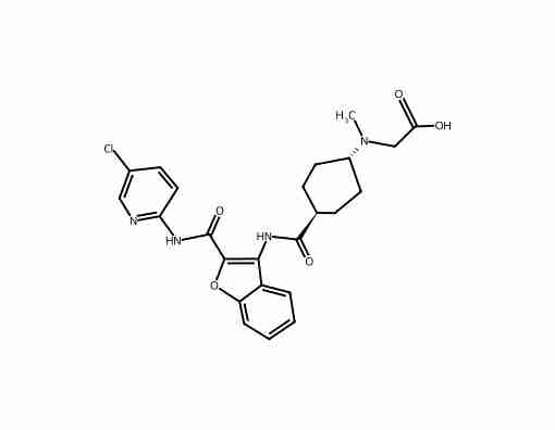 CN(CC(=O)O)[C@H]1CC[C@H](C(=O)Nc2c(C(=O)Nc3ccc(Cl)cn3)oc3ccccc23)CC1